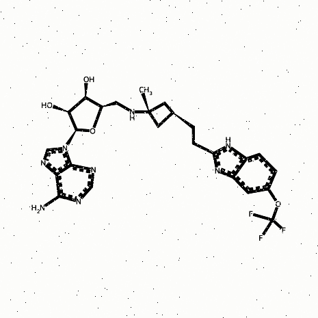 C[C@]1(NC[C@H]2O[C@@H](n3cnc4c(N)ncnc43)[C@@H](O)[C@H]2O)C[C@H](CCc2nc3cc(OC(F)(F)F)ccc3[nH]2)C1